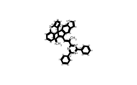 C=CC1=C(/C=C(\C)c2nc(-c3ccccc3)nc(-c3ccccc3)n2)c2cc3ccsc3cc2C12c1ccccc1Sc1ccccc12